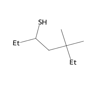 [CH2]CC(S)CC(C)(C)CC